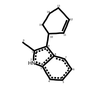 Cc1[nH]c2ccccc2c1C1C=CCCC1